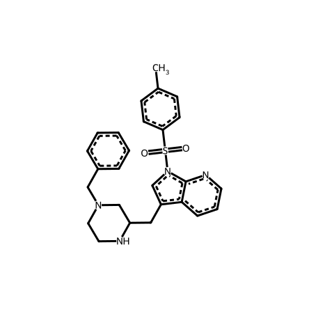 Cc1ccc(S(=O)(=O)n2cc(CC3CN(Cc4ccccc4)CCN3)c3cccnc32)cc1